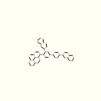 c1ccc2cc(-c3ccc(-c4ccc(-c5ccc6ccc7cccc8ccc5c6c78)c5c4oc4cc6ccccc6cc45)cc3)ccc2c1